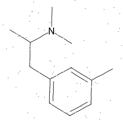 Cc1cccc(CC(C)N(C)C)c1